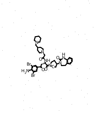 Nc1c(Br)cc(C(=O)C[C@@H](NC(=O)CN2CCC(CN3CCCCC3)CC2)C(=O)N2CCC(N3CCc4ccccc4NC3=O)CC2)cc1Br